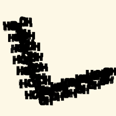 F.OB(O)O.OB(O)O.OB(O)O.OB(O)O.OB(O)O.OB(O)O.OB(O)O.OB(O)O.OB(O)O.OB(O)O.OB(O)O.OB(O)O